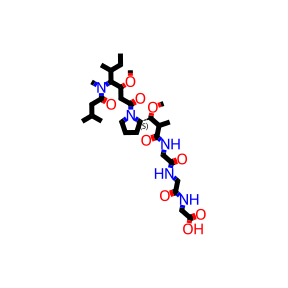 CCC(C)C(C(CC(=O)N1CCC[C@H]1C(OC)C(C)C(=O)NCC(=O)NCC(=O)NCC(=O)O)OC)N(C)C(=O)CC(C)C